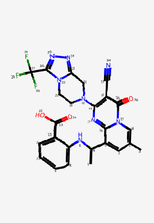 Cc1cc(C(C)Nc2ccccc2C(=O)O)c2nc(N3CCn4c(nnc4C(F)(F)F)C3)c(C#N)c(=O)n2c1